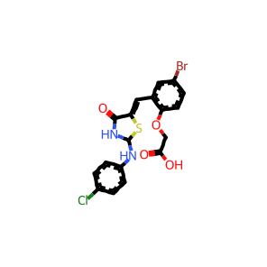 O=C(O)COc1ccc(Br)cc1C=C1SC(Nc2ccc(Cl)cc2)NC1=O